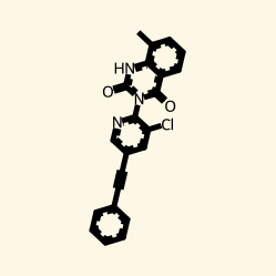 Cc1cccc2c(=O)n(-c3ncc(C#Cc4ccccc4)cc3Cl)c(=O)[nH]c12